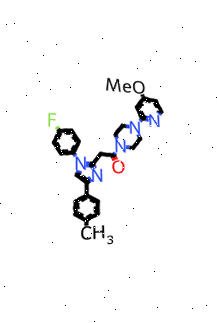 COc1ccnc(N2CCN(C(=O)Cc3nc(-c4ccc(C)cc4)cn3-c3ccc(F)cc3)CC2)c1